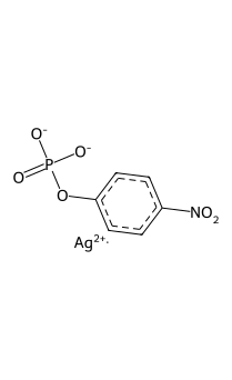 O=[N+]([O-])c1ccc(OP(=O)([O-])[O-])cc1.[Ag+2]